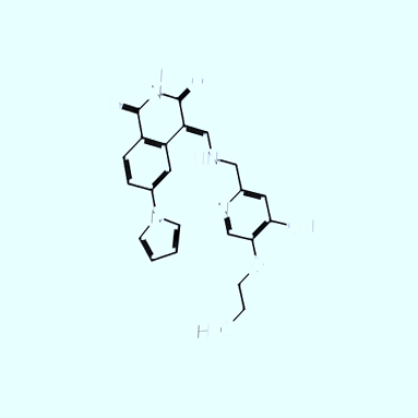 CCCOc1cnc(CN/C=C2/C(=O)NC(=O)c3ccc(-n4cccc4)cc32)cc1O